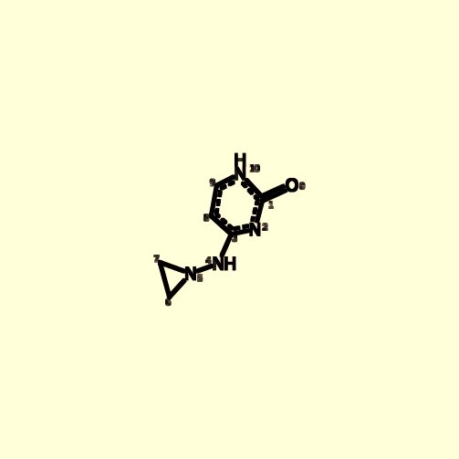 O=c1nc(NN2CC2)cc[nH]1